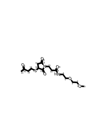 COCCOCCNC(=O)CCN1C(=O)CC(SCCC(C)=O)C1=O